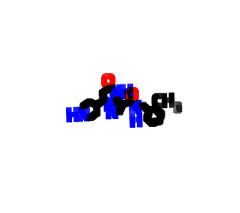 Cc1ccccc1CNC(=O)c1cnn2c(C3CCNCC3)cc(=O)[nH]c12